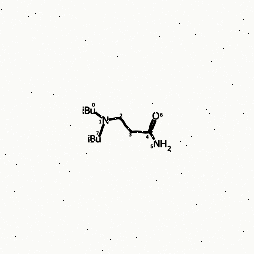 CCC(C)N(CCC(N)=O)C(C)CC